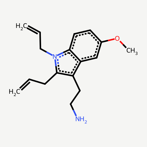 C=CCc1c(CCN)c2cc(OC)ccc2n1CC=C